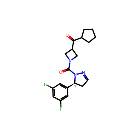 O=C(C1CCCC1)C1CN(C(=O)N2N=CC[C@H]2c2cc(F)cc(F)c2)C1